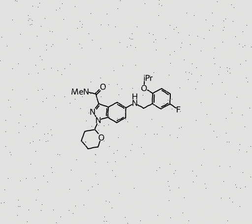 CNC(=O)c1nn(C2CCCCO2)c2ccc(NCc3cc(F)ccc3OC(C)C)cc12